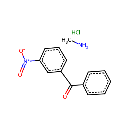 CN.Cl.O=C(c1ccccc1)c1cccc([N+](=O)[O-])c1